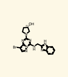 O[C@H]1CCN(c2nc(NCc3nc4ccccc4[nH]3)n3ncc(Br)c3n2)C1